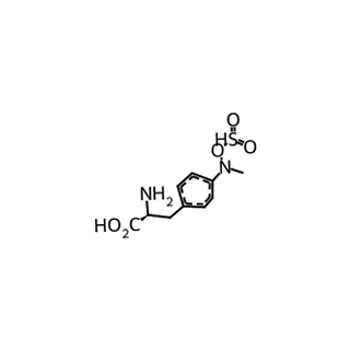 CN(O[SH](=O)=O)c1ccc(C[C@H](N)C(=O)O)cc1